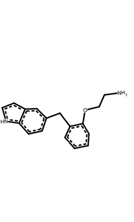 NCCOc1ccccc1Cc1ccc2[nH]ccc2c1